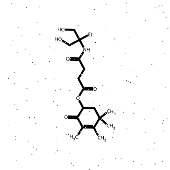 CCC(CO)(CO)NC(=O)CCC(=O)OC1CC(C)(C)C(C)=C(C)C1=O